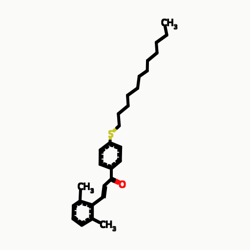 CCCCCCCCCCCCSc1ccc(C(=O)C=Cc2c(C)cccc2C)cc1